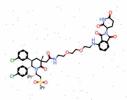 CC(C)[C@@H](CS(=O)(=O)C(C)C)N1C(=O)[C@@](C)(CC(=O)NCCOCCOCCNc2cccc3c2C(=O)N(C2CCC(=O)NC2=O)C3=O)C[C@H](c2cccc(Cl)c2)[C@H]1c1ccc(Cl)cc1